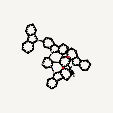 N#Cc1cccc(-c2c(-n3c4ccccc4c4ccc(-n5c6ccccc6c6ccccc65)cc43)cncc2-n2c3ccccc3c3ccc(-n4c5ccccc5c5ccccc54)cc32)c1